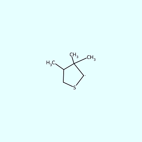 CC1CS[CH]C1(C)C